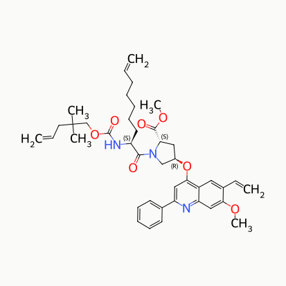 C=CCCCCC[C@H](NC(=O)OCC(C)(C)CC=C)C(=O)N1C[C@H](Oc2cc(-c3ccccc3)nc3cc(OC)c(C=C)cc23)C[C@H]1C(=O)OC